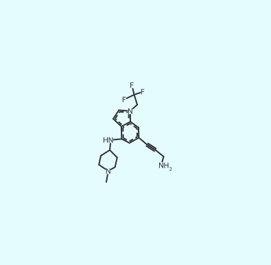 CN1CCC(Nc2cc(C#CCN)cc3c2ccn3CC(F)(F)F)CC1